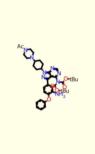 CC(=O)N1CCN(C2CCC(n3nc(-c4ccc(Oc5ccccc5)c(N)c4)c4c(N(C(=O)OC(C)(C)C)C(=O)OC(C)(C)C)ncnc43)CC2)CC1